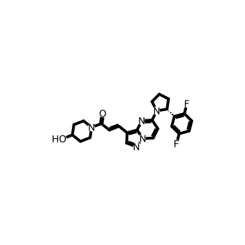 O=C(C=Cc1cnn2ccc(N3CCC[C@@H]3c3cc(F)ccc3F)nc12)N1CCC(O)CC1